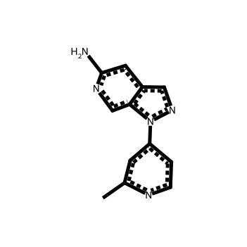 Cc1cc(-n2ncc3cc(N)ncc32)ccn1